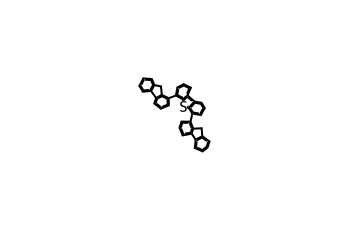 c1ccc2c(c1)Cc1c-2cccc1-c1cccc2c1sc1c(-c3cccc4c3Cc3ccccc3-4)cccc12